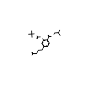 CC(C)COC(=O)c1ccc(CCCC(=O)O)cc1NC(=O)OC(C)(C)C